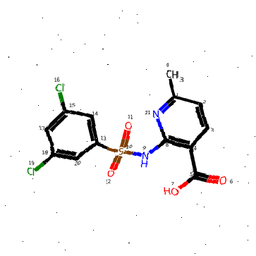 Cc1ccc(C(=O)O)c(NS(=O)(=O)c2cc(Cl)cc(Cl)c2)n1